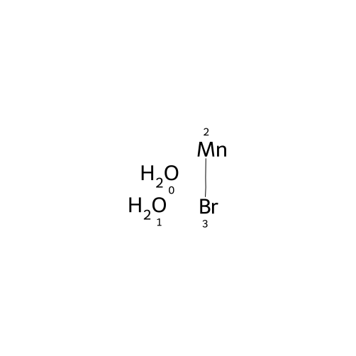 O.O.[Mn][Br]